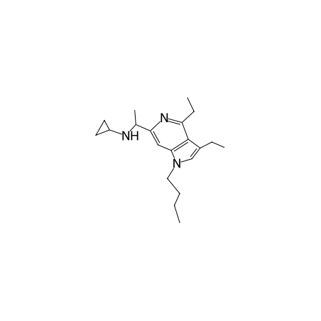 CCCCn1cc(CC)c2c(CC)nc(C(C)NC3CC3)cc21